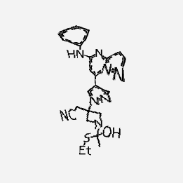 CCSC(C)(O)N1CC(CC#N)(n2cc(-c3cc(Nc4ccccc4)nc4ccnn34)cn2)C1